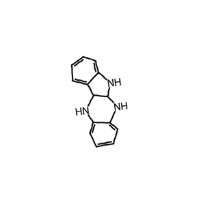 c1ccc2c(c1)NC1Nc3ccccc3C1N2